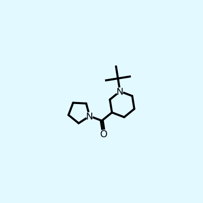 CC(C)(C)N1CCCC(C(=O)N2CCCC2)C1